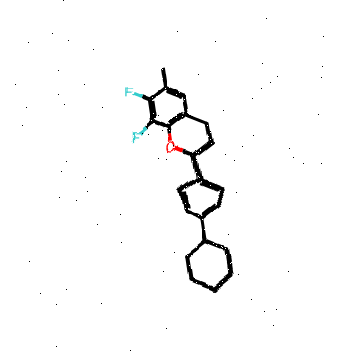 Cc1cc2c(c(F)c1F)OC(c1ccc(C3CCCCC3)cc1)CC2